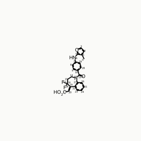 Cc1ccoc1Nc1ccc(C(=O)N2CCC(F)(F)/C(=C\C(=O)O)c3ccccc32)cc1